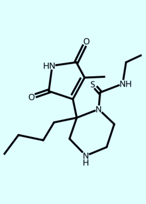 CCCCC1(C2=C(C)C(=O)NC2=O)CNCCN1C(=S)NCC